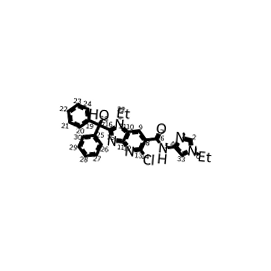 CCn1cnc(NC(=O)c2cc3c(nc2Cl)nc(C(O)(c2ccccc2)c2ccccc2)n3CC)c1